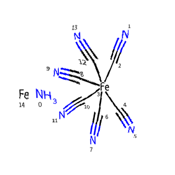 N.N#[C][Fe]([C]#N)([C]#N)([C]#N)([C]#N)[C]#N.[Fe]